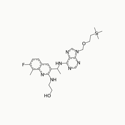 Cc1c(F)ccc2cc(C(C)Nc3ncnc4c3ncn4COCC[Si](C)(C)C)c(NCCO)nc12